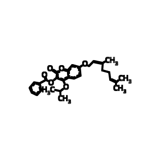 CC(C)=CCCC(C)=CCOc1ccc2c(OC(C)C)c(OC(=O)c3ccccc3)c(=O)oc2c1